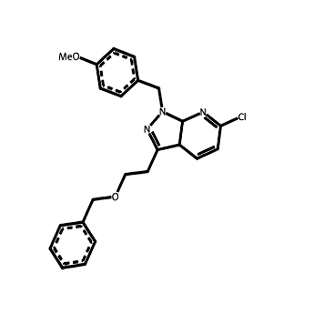 COc1ccc(CN2N=C(CCOCc3ccccc3)C3C=CC(Cl)=NC32)cc1